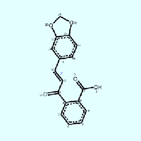 O=C(O)c1ccccc1C(=O)/C=C/c1ccc2c(c1)OCO2